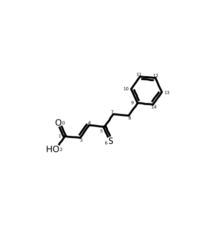 O=C(O)C=CC(=S)CCc1ccccc1